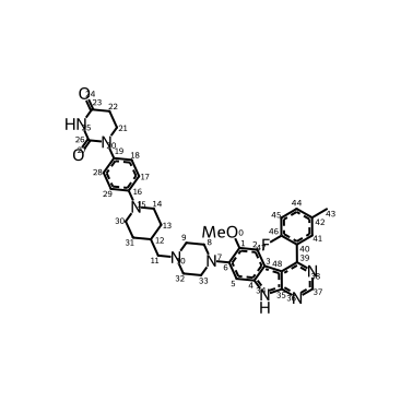 COc1cc2c(cc1N1CCN(CC3CCN(c4ccc(N5CCC(=O)NC5=O)cc4)CC3)CC1)[nH]c1ncnc(-c3cc(C)ccc3F)c12